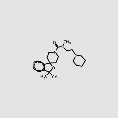 CN(CCN1CCCCC1)C(=O)N1CCC2(CC1)OC(C)(C)c1ccccc12